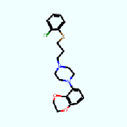 Clc1ccccc1SCCCN1CCN(c2cccc3c2OCCO3)CC1